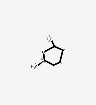 CC1CCC[C@@H](C)O1